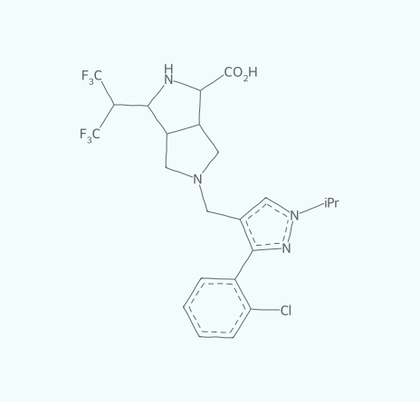 CC(C)n1cc(CN2CC3C(C(=O)O)NC(C(C(F)(F)F)C(F)(F)F)C3C2)c(-c2ccccc2Cl)n1